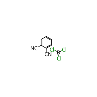 ClB(Cl)Cl.N#Cc1ccccc1C#N